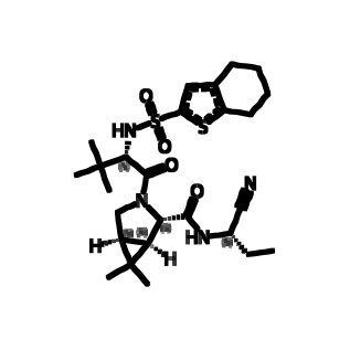 CC[C@@H](C#N)NC(=O)[C@@H]1[C@@H]2[C@H](CN1C(=O)[C@@H](NS(=O)(=O)c1cc3c(s1)CCCC3)C(C)(C)C)C2(C)C